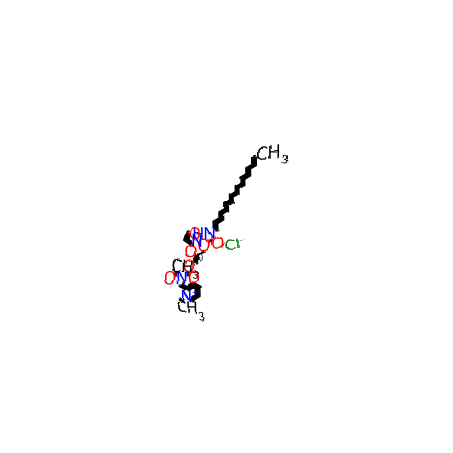 CCCCCCCCCCCCCCCCCNC(=O)OC[C@@H](COC(=O)N(Cc1cccc[n+]1CC)C(C)=O)Oc1ccon1.[Cl-]